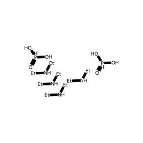 CCNCC.CCNCC.CCNCC.CCNCC.O=[PH](O)O.O=[PH](O)O